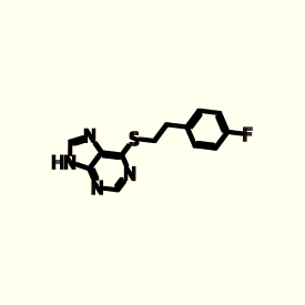 Fc1ccc(CCSc2ncnc3[nH]cnc23)cc1